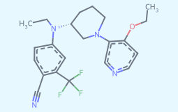 CCOc1ccncc1N1CCC[C@@H](N(CC)c2ccc(C#N)c(C(F)(F)F)c2)C1